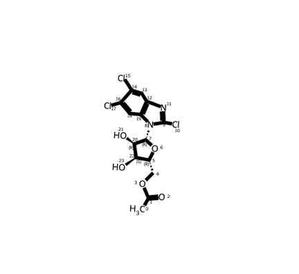 CC(=O)OC[C@H]1O[C@@H](n2c(Cl)nc3cc(Cl)c(Cl)cc32)[C@H](O)[C@@H]1O